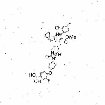 COC(=O)C1=C(CN2CCN3C(=O)N(c4ccc(Oc5ccc(C(O)O)cc5F)cn4)C[C@@H]3C2)NC(c2nccs2)=N[C@H]1c1ccc(F)cc1Cl